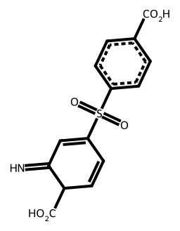 N=C1C=C(S(=O)(=O)c2ccc(C(=O)O)cc2)C=CC1C(=O)O